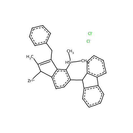 CC1=C(Cc2ccccc2)c2c(ccc(C3c4ccccc4-c4ccccc43)c2[SiH](C)C)[CH]1[Zr+2].[Cl-].[Cl-]